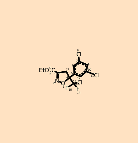 CCOC(=O)C1=NOC(c2cc(Cl)cc(Cl)c2)(C(F)(F)Cl)C1